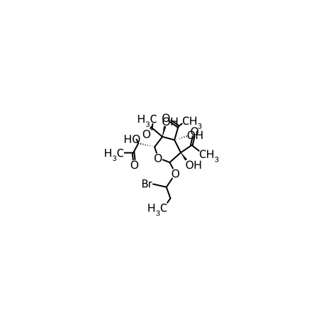 CCC(Br)OC1O[C@H](C(O)C(C)=O)[C@](O)(C(C)=O)[C@@](O)(C(C)=O)[C@]1(O)C(C)=O